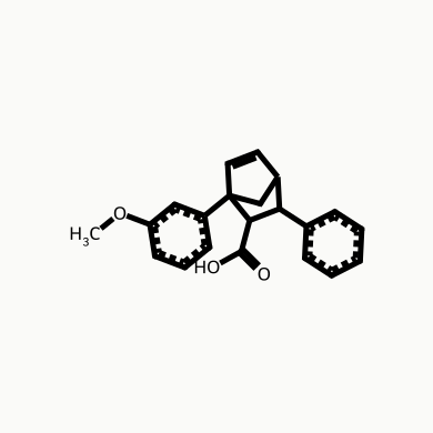 COc1cccc(C23C=CC(C2)C(c2ccccc2)C3C(=O)O)c1